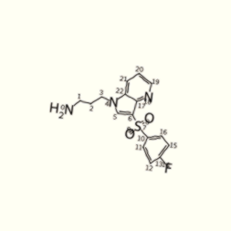 NCCCn1cc(S(=O)(=O)c2ccc(F)cc2)c2ncccc21